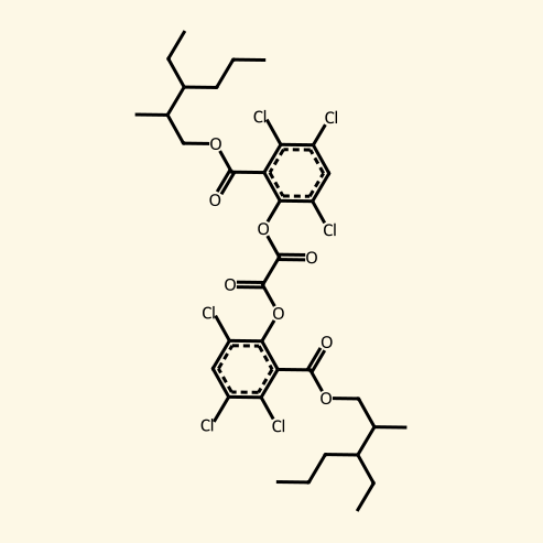 CCCC(CC)C(C)COC(=O)c1c(Cl)c(Cl)cc(Cl)c1OC(=O)C(=O)Oc1c(Cl)cc(Cl)c(Cl)c1C(=O)OCC(C)C(CC)CCC